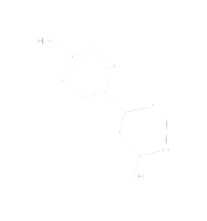 Cc1ccc(C2CC(C)OCS2)cc1